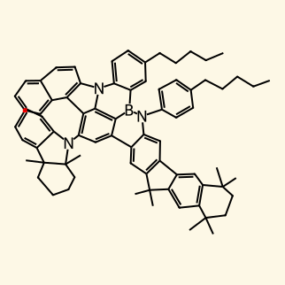 CCCCCc1ccc(N2B3c4cc(CCCCC)ccc4-n4c5ccc6ccccc6c5c5c(N6c7ccccc7C7(C)CCCCC67C)cc(c3c54)-c3cc4c(cc32)-c2cc3c(cc2C4(C)C)C(C)(C)CCC3(C)C)cc1